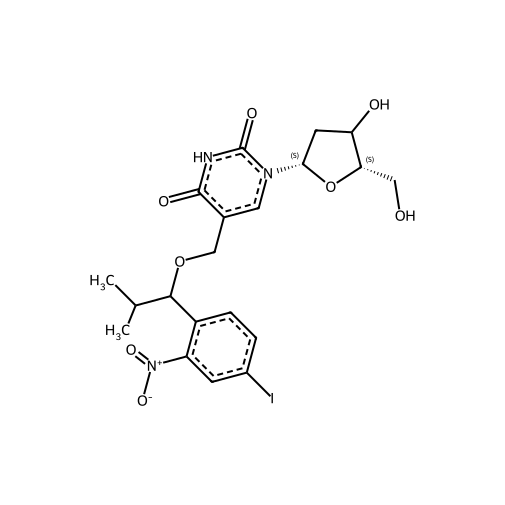 CC(C)C(OCc1cn([C@@H]2CC(O)[C@H](CO)O2)c(=O)[nH]c1=O)c1ccc(I)cc1[N+](=O)[O-]